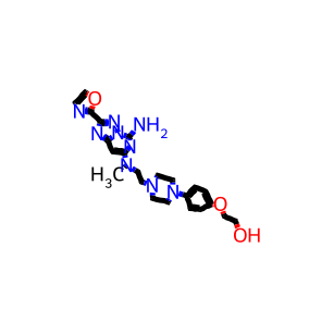 CN(CCN1CCN(c2ccc(OCCO)cc2)CC1)c1cc2nc(-c3ncco3)nn2c(N)n1